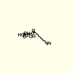 CC(C)CCCCCCCCCCC(=O)OCC(O)COP(=O)(O)O